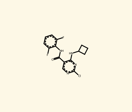 O=C(Nc1c(F)cccc1F)c1cnc(Cl)nc1NC1CCC1